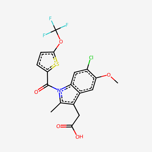 COc1cc2c(CC(=O)O)c(C)n(C(=O)c3ccc(OC(F)(F)F)s3)c2cc1Cl